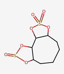 O=S1OC2CCCCC3OS(=O)(=O)OC3C2O1